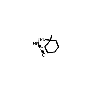 CC(C)(C)C1(C)CCCCC1.N=C=O